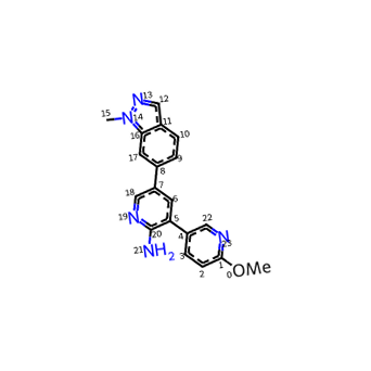 COc1ccc(-c2cc(-c3ccc4cnn(C)c4c3)cnc2N)cn1